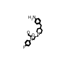 Nc1ccc(CC2CCN(C[C@H]3CN(c4ccc(F)cc4)C(C=O)O3)CC2)cc1